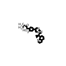 CN(C)C(=O)C(O)c1ccc(-c2cnc3ncc(C4(c5cccc6cccnc56)CC4)n3c2)cc1F